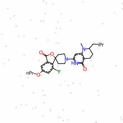 CCCOc1cc(F)c2c(c1)C(=O)OC21CCN(c2cc3c(c(=O)[nH]2)CCC(CC(C)C)N3C)CC1